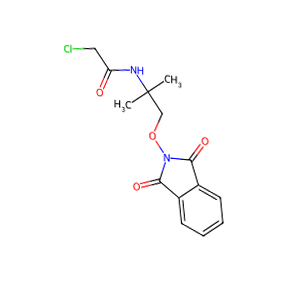 CC(C)(CON1C(=O)c2ccccc2C1=O)NC(=O)CCl